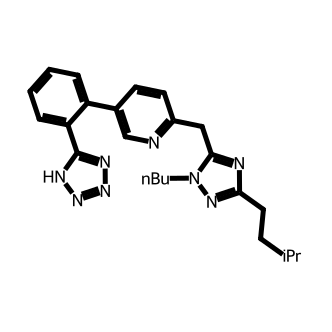 CCCCn1nc(CCC(C)C)nc1Cc1ccc(-c2ccccc2-c2nnn[nH]2)cn1